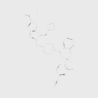 CC1(c2ccc(C#N)cc2F)Oc2ccccc2C(C2CCN(Cc3nc4cc(C(=O)O)sc4n3C[C@@H]3CCO3)CC2)O1